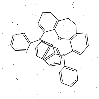 c1ccc(P(c2ccccc2)c2cccc3c2Oc2c(cccc2P(c2ccccc2)c2ccccc2)CC3)cc1